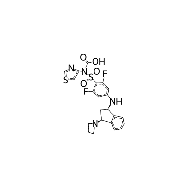 O=C(O)N(c1cscn1)S(=O)(=O)c1c(F)cc(N[C@@H]2C[C@H](N3CCC3)c3ccccc32)cc1F